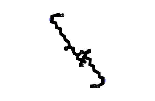 [CH2]C[N+](C)(C)CC(COC(=O)CCCCCCC/C=C\CCCCCCCC)OC(=O)CCCCCCC/C=C\CCCCCCCC